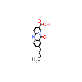 CCCCc1ccc2nc3ccc(C(=O)O)cn3c(=O)c2c1